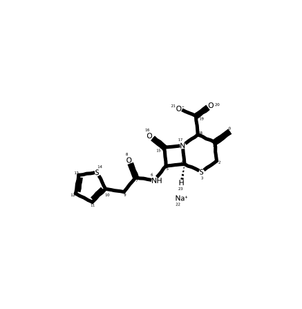 C=C1CS[C@H]2C(NC(=O)Cc3cccs3)C(=O)N2C1C(=O)[O-].[Na+]